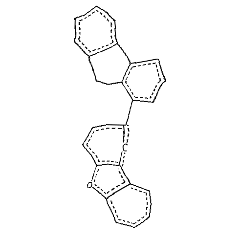 c1ccc2c(c1)Cc1c(-c3ccc4oc5ccccc5c4c3)cccc1-2